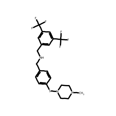 CN1CCN(Sc2ccc(CNCc3cc(C(F)(F)F)cc(C(F)(F)F)c3)cc2)CC1